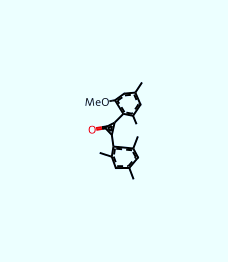 COc1cc(C)cc(C)c1-c1c(-c2c(C)cc(C)cc2C)c1=O